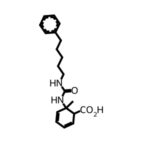 CC1(NC(=O)NCCCCCc2ccccc2)C=CC=CC1C(=O)O